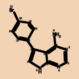 Nc1ncnc2[nH]cc(-c3ccc(Br)cc3)c12